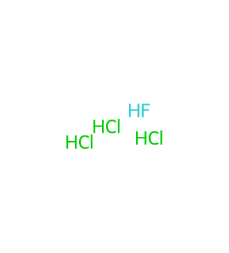 Cl.Cl.Cl.F